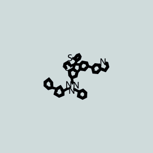 c1ccc(-c2cccc(-c3nc(-c4ccccc4)nc(-c4ccc5c(c4)-c4cc(-c6ccc7cccnc7c6)ccc4C54c5ccccc5Sc5ccccc54)n3)c2)cc1